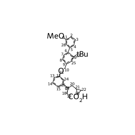 COc1cccc(-c2ccc(COc3cccc([C@H](CC(=O)O)CC4CC4)c3)cc2C(C)(C)C)c1